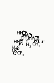 Cc1ncc[nH]1.Cc1ncc[nH]1.Cc1ncc[nH]1.Cc1ncc[nH]1.O=S(=O)([O-])C(F)(F)F.[Cu+]